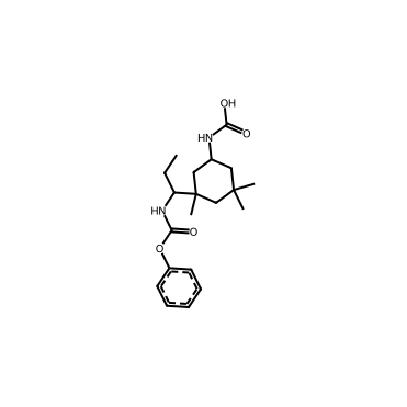 CCC(NC(=O)Oc1ccccc1)C1(C)CC(NC(=O)O)CC(C)(C)C1